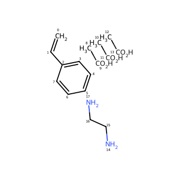 C=Cc1ccccc1.CC(=O)O.CC(=O)O.CC(=O)O.NCCN